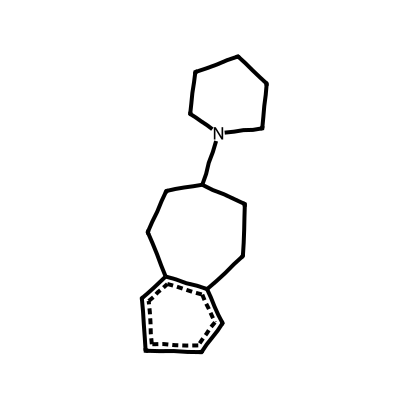 c1ccc2c(c1)CCC(N1CCCCC1)CC2